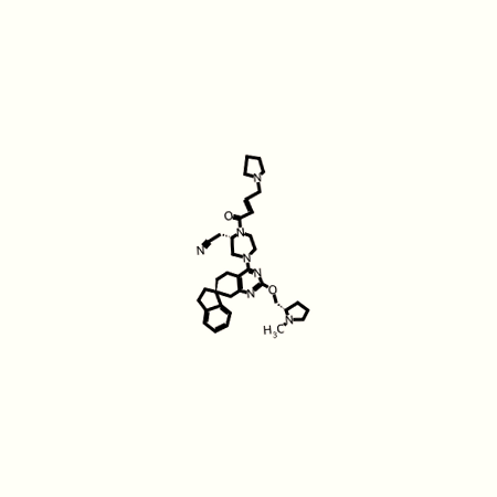 CN1CCC[C@H]1COc1nc2c(c(N3CCN(C(=O)/C=C/CN4CCCC4)[C@@H](CC#N)C3)n1)CC[C@@]1(CCc3ccccc31)C2